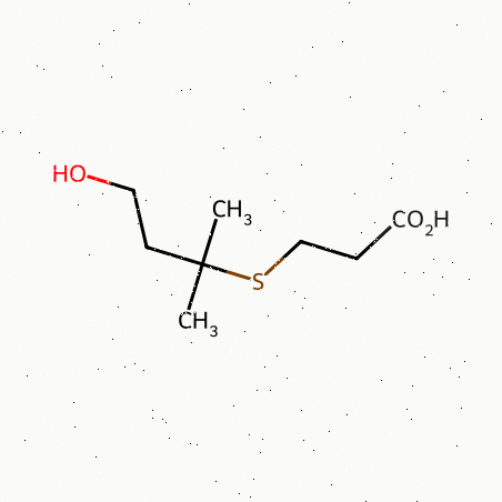 CC(C)(CCO)SCCC(=O)O